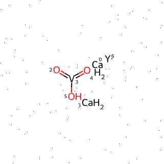 [CaH2].[CaH2].[O]=[V](=[O])[OH].[Y]